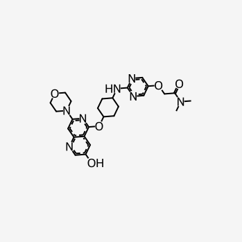 CN(C)C(=O)COc1cnc(NC2CCC(Oc3nc(N4CCOCC4)cc4ncc(O)cc34)CC2)nc1